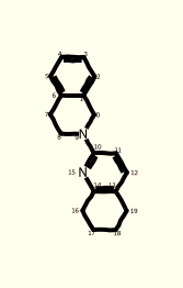 [CH]1c2ccccc2CCN1c1ccc2c(n1)CCCC2